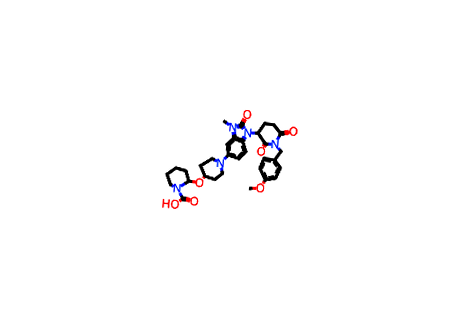 COc1ccc(CN2C(=O)CCC(n3c(=O)n(C)c4cc(N5CCC(OC6CCCCN6C(=O)O)CC5)ccc43)C2=O)cc1